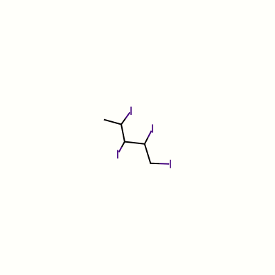 CC(I)C(I)C(I)CI